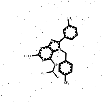 Cc1cccc(-c2nc3nc(C(=O)O)nc(N[C@H](C)C(C)C)c3n2Cc2ccc(C(F)(F)F)cc2)c1